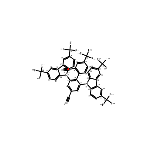 N#Cc1cc(-n2c3ccc(C(F)(F)F)cc3c3cc(C(F)(F)F)ccc32)c(-c2ccc(C(F)(F)F)cc2C#N)c(-n2c3ccc(C(F)(F)F)cc3c3cc(C(F)(F)F)ccc32)c1